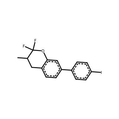 CC1Cc2ccc(-c3ccc(I)cc3)cc2OC1(F)F